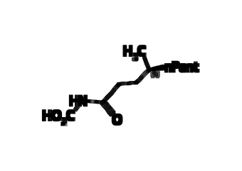 CCCCC[C@H](C)CCC(=O)NC(=O)O